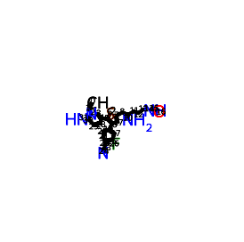 C=Cn1cc(-c2sc(CC(N)CCCNC=O)cc2-c2ccc(C#N)c(F)c2)ccc1=N